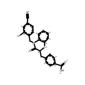 N#Cc1ccc(CN2C(=O)C(Cc3ccc(C(=O)O)cc3)Sc3ccccc32)c(F)c1